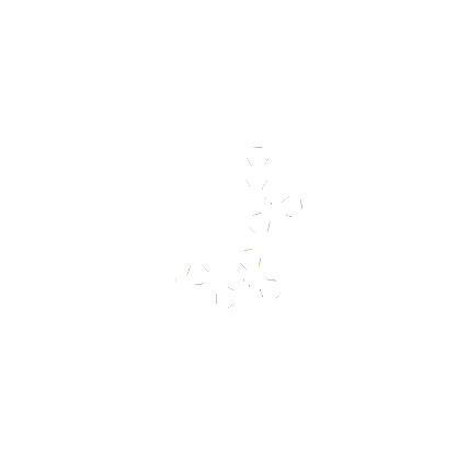 CCCCc1ccc2oc3c(-n4c5ccccc5c5cc(-c6ccc7c(c6)c6ccccc6n7-c6ccc7ccccc7c6)ccc54)cccc3c2c1